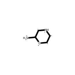 [SiH3]C1CNCCO1